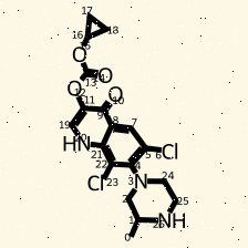 CC1CN(c2c(Cl)cc3c(=O)c(OC(=O)OC4CC4)c[nH]c3c2Cl)CCN1